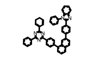 C1=CC(c2nc(-c3ccccc3)nc(-c3ccc(-c4cccc5ccc(-c6ccc(-c7nc8ccccc8n7-c7ccccc7)cc6)cc45)cc3)n2)=CCC1